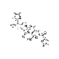 NC(C(=O)NC1C(=O)N2C(C(=O)O)=C(CSC(=O)c3nccs3)CS[C@@H]12)c1cccs1